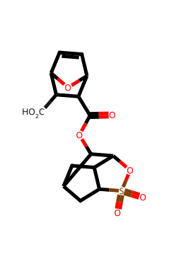 O=C(O)C1C2C=CC(O2)C1C(=O)OC1C2CC3C1OS(=O)(=O)C3C2